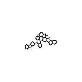 CC1(C)c2ccccc2-c2c(-c3c4ccccc4c(-c4ccc5c(c4)sc4ccccc45)c4ccccc34)cc3c(sc4c5ccccc5ccc34)c21